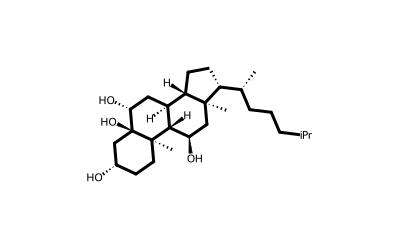 CC(C)CCC[C@@H](C)[C@H]1CC[C@H]2[C@@H]3C[C@@H](O)[C@@]4(O)C[C@@H](O)CC[C@]4(C)[C@H]3[C@H](O)C[C@]12C